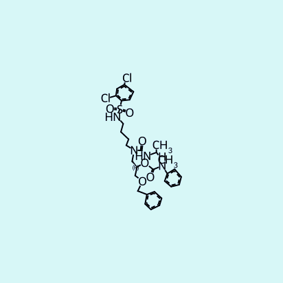 CC(C)NC(=O)N(CCCCNS(=O)(=O)c1ccc(Cl)cc1Cl)C[C@H](COCc1ccccc1)OC(=O)Nc1ccccc1